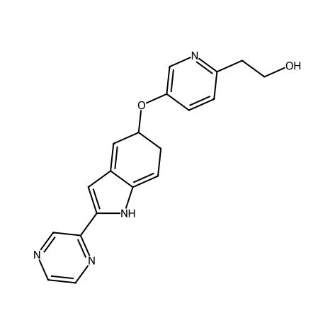 OCCc1ccc(OC2C=c3cc(-c4cnccn4)[nH]c3=CC2)cn1